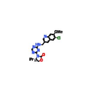 COc1cc2ncc(CNc3ncnc(N4C(=O)OC[C@@H]4C(C)C)n3)cc2cc1Cl